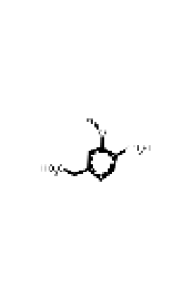 CCOC(=O)c1ccc(CC(=O)O)cc1OCC